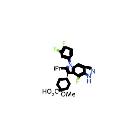 CO[C@]1(C(=O)O)CC[C@H](c2c(C(C)C)n(-c3ccc(F)c(F)c3)c3cc4cn[nH]c4c(F)c32)CC1